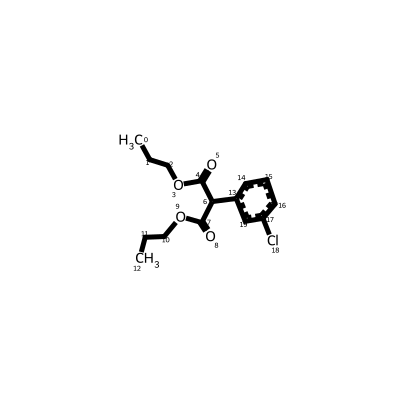 CCCOC(=O)C(C(=O)OCCC)c1cccc(Cl)c1